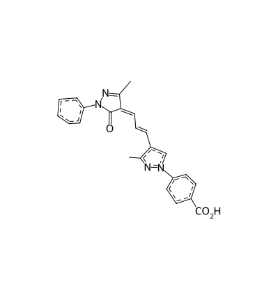 CC1=NN(c2ccccc2)C(=O)/C1=C\C=C\c1cn(-c2ccc(C(=O)O)cc2)nc1C